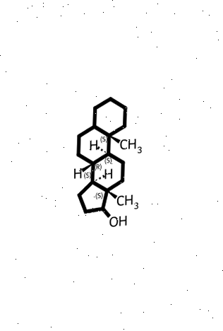 C[C@]12CCCCC1CC[C@@H]1[C@@H]2CC[C@]2(C)C(O)CC[C@@H]12